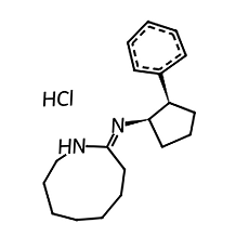 Cl.c1ccc([C@H]2CCC[C@H]2N=C2CCCCCCCN2)cc1